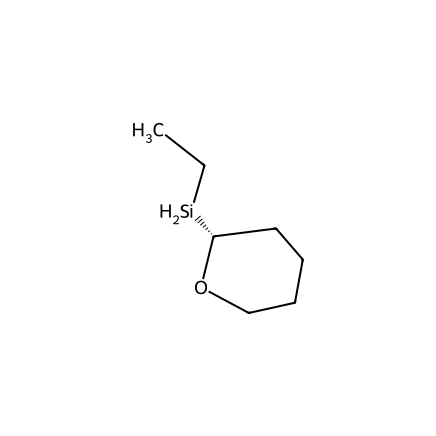 CC[SiH2][C@@H]1CCCCO1